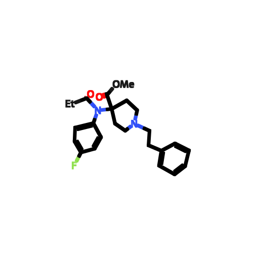 CCC(=O)N(c1ccc(F)cc1)C1(C(=O)OC)CCN(CCc2ccccc2)CC1